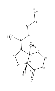 CC(C)CCCC(C)C1CC[C@H]2C(=O)CCCC12C